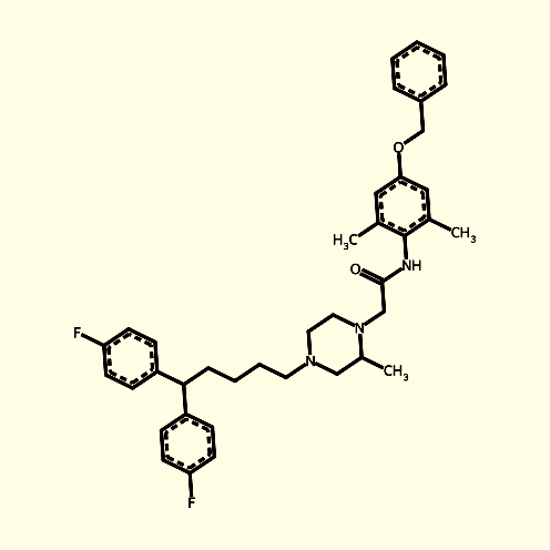 Cc1cc(OCc2ccccc2)cc(C)c1NC(=O)CN1CCN(CCCCC(c2ccc(F)cc2)c2ccc(F)cc2)CC1C